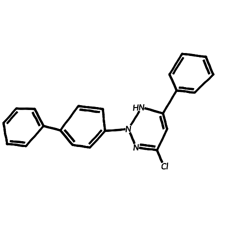 ClC1=NN(c2ccc(-c3ccccc3)cc2)NC(c2ccccc2)=C1